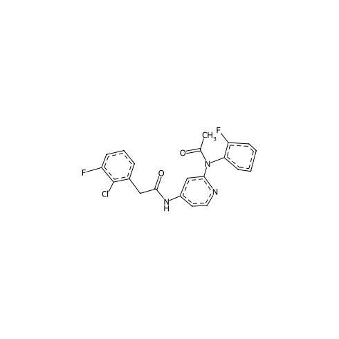 CC(=O)N(c1cc(NC(=O)Cc2cccc(F)c2Cl)ccn1)c1ccccc1F